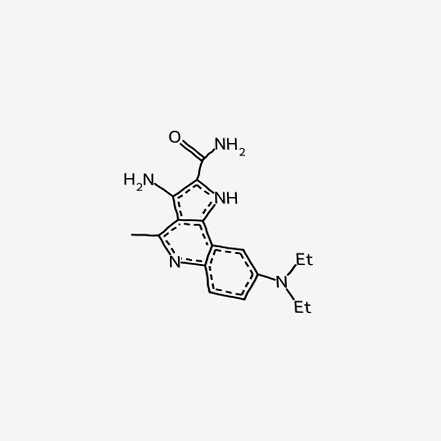 CCN(CC)c1ccc2nc(C)c3c(N)c(C(N)=O)[nH]c3c2c1